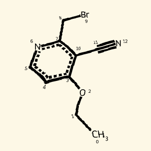 CCOc1ccnc(CBr)c1C#N